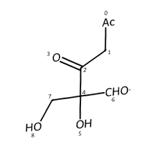 CC(=O)CC(=O)C(O)([C]=O)CO